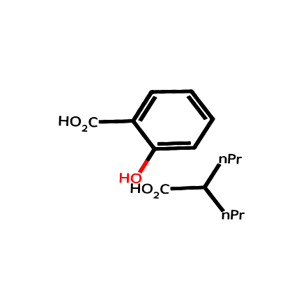 CCCC(CCC)C(=O)O.O=C(O)c1ccccc1O